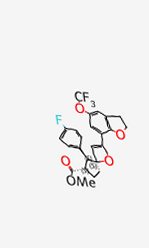 COC(=O)[C@H]1CC[C@@]2(C=C(c3cc(OC(F)(F)F)cc4c3OCC4)CO2)[C@@H]1c1ccc(F)cc1